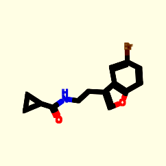 O=C(NCCc1coc2ccc(Br)cc12)C1CC1